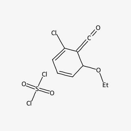 CCOC1C=CC=C(Cl)C1=C=O.O=S(=O)(Cl)Cl